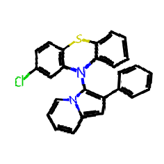 Clc1ccc2c(c1)N(c1c(-c3ccccc3)cc3ccccn13)c1ccccc1S2